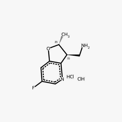 C[C@H]1Oc2cc(F)cnc2[C@@H]1CN.Cl.Cl